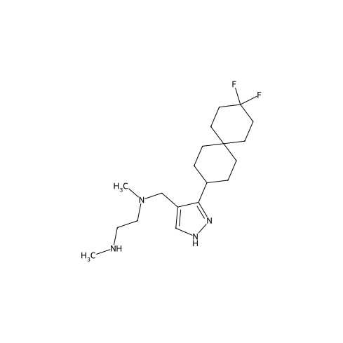 CNCCN(C)Cc1c[nH]nc1C1CCC2(CC1)CCC(F)(F)CC2